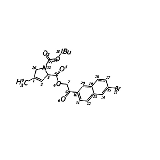 CC1=CC(C(=O)OCC(=O)c2ccc3cc(Br)ccc3c2)N(C(=O)OC(C)(C)C)C1